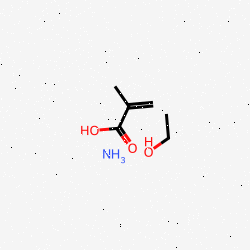 C=C(C)C(=O)O.CCO.N